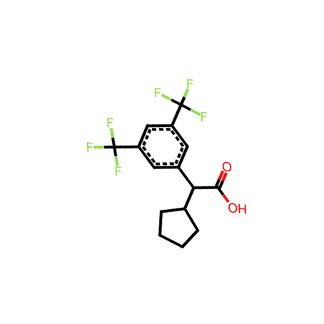 O=C(O)C(c1cc(C(F)(F)F)cc(C(F)(F)F)c1)C1CCCC1